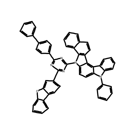 c1ccc(-c2ccc(-c3nc(-c4ccc5c(c4)oc4ccccc45)nc(-n4c5ccc6c(c7ccccc7n6-c6ccccc6)c5c5ccc6ccccc6c54)n3)cc2)cc1